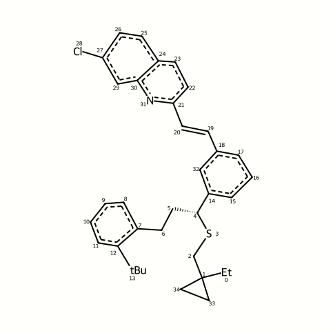 CCC1(CS[C@H](CCc2ccccc2C(C)(C)C)c2cccc(/C=C/c3ccc4ccc(Cl)cc4n3)c2)CC1